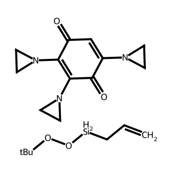 C=CC[SiH2]OOC(C)(C)C.O=C1C=C(N2CC2)C(=O)C(N2CC2)=C1N1CC1